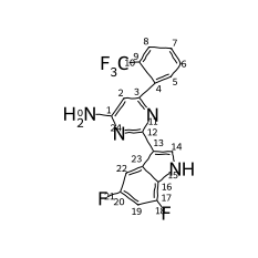 Nc1cc(-c2ccccc2C(F)(F)F)nc(-c2c[nH]c3c(F)cc(F)cc23)n1